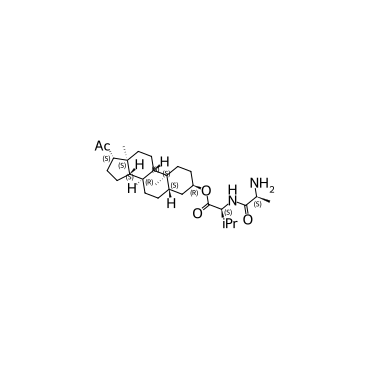 CC(=O)[C@H]1CC[C@H]2[C@@H]3CC[C@H]4C[C@H](OC(=O)[C@@H](NC(=O)[C@H](C)N)C(C)C)CC[C@]4(C)[C@H]3CC[C@]12C